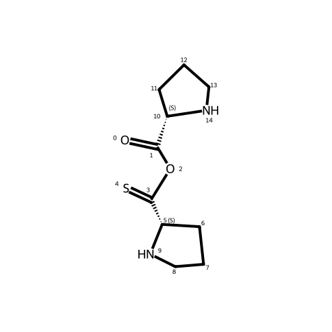 O=C(OC(=S)[C@@H]1CCCN1)[C@@H]1CCCN1